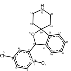 [O-][n+]1ccc(Cl)cc1C1OC2(CCNCC2)c2ccccc21